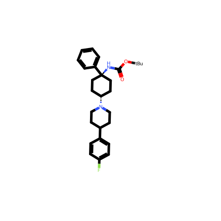 CC(C)(C)OC(=O)N[C@]1(c2ccccc2)CC[C@@H](N2CCC(c3ccc(F)cc3)CC2)CC1